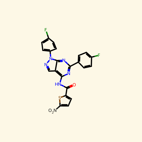 O=C(Nc1nc(-c2ccc(F)cc2)nc2c1cnn2-c1ccc(F)cc1)c1ccc([N+](=O)[O-])s1